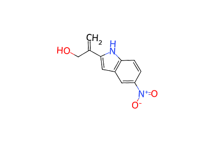 C=C(CO)c1cc2cc([N+](=O)[O-])ccc2[nH]1